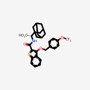 O=C(N[C@H](C(=O)O)C12CC3CC(CC(C3)C1)C2)c1sc2ccccc2c1OCc1ccc(OC(F)(F)F)cc1